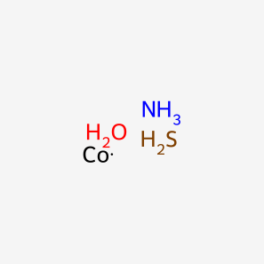 N.O.S.[Co]